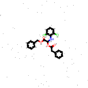 O=C(Cc1ccccc1)OC(Nc1c(Cl)cccc1Cl)C(=O)OCc1ccccc1